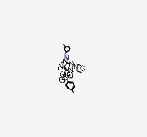 Cc1ccc(S(=O)(=O)Oc2nc(N3CCOCC3)nc3c2ncn3/N=C/c2cccc(C)c2)cc1